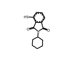 O=C1c2cccc(S)c2C(=O)N1C1CCCCC1